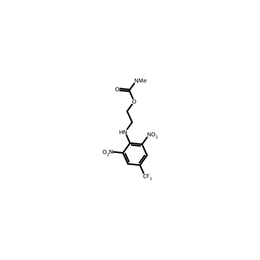 CNC(=O)OCCNc1c([N+](=O)[O-])cc(C(F)(F)F)cc1[N+](=O)[O-]